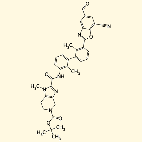 Cc1c(NC(=O)c2nc3c(n2C)CCN(C(=O)OC(C)(C)C)C3)cccc1-c1cccc(-c2nc3cc(C=O)cc(C#N)c3o2)c1C